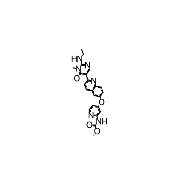 CCNc1ncc(-c2ccc3cc(Oc4ccnc(NC(=O)OC)c4)ccc3n2)c(=O)n1C